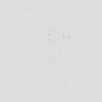 CCOC(=O)OC1=C(c2c(C)cc(C3CC3)cc2CC)C(=O)NC12CCC(OC)CC2